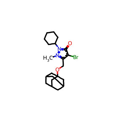 Cn1c(COC23CC4CC(CC(C4)C2)C3)c(Br)c(=O)n1C1CCCCC1